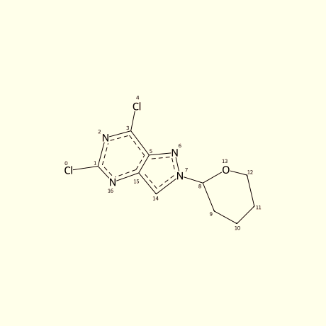 Clc1nc(Cl)c2nn(C3CCCCO3)cc2n1